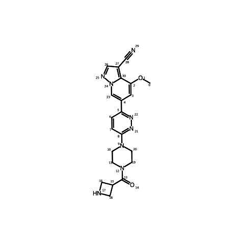 COc1cc(-c2ccc(N3CCN(C(=O)C4CNC4)CC3)nn2)cn2ncc(C#N)c12